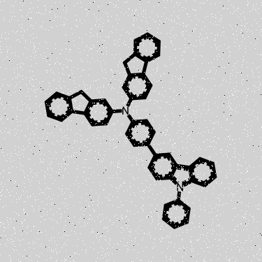 c1ccc(-n2c3ccccc3c3cc(-c4ccc(N(c5ccc6c(c5)Cc5ccccc5-6)c5ccc6c(c5)Cc5ccccc5-6)cc4)ccc32)cc1